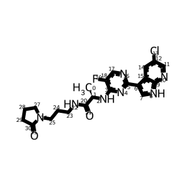 C[C@H](Nc1nc(-c2c[nH]c3ncc(Cl)cc23)ncc1F)C(=O)NCCCN1CCCC1=O